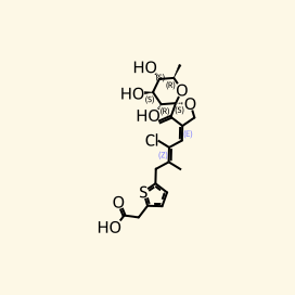 C=C1/C(=C\C(Cl)=C(/C)Cc2ccc(CC(=O)O)s2)CO[C@]12O[C@H](C)[C@@H](O)[C@H](O)[C@H]2O